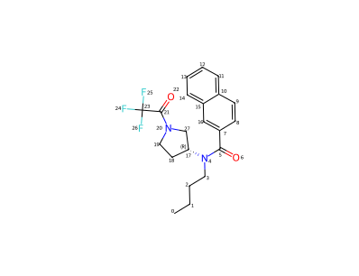 CCCCN(C(=O)c1ccc2ccccc2c1)[C@@H]1CCN(C(=O)C(F)(F)F)C1